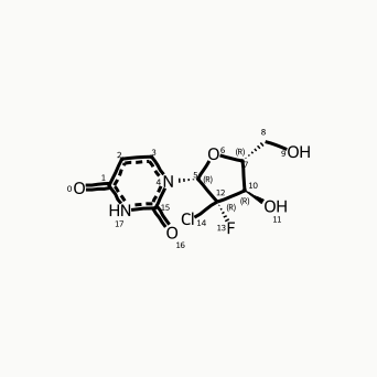 O=c1ccn([C@@H]2O[C@H](CO)[C@@H](O)[C@@]2(F)Cl)c(=O)[nH]1